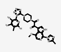 [2H]c1nc(-n2nnnc2N2CCN(C(=O)C(=O)c3c[nH]c4c(-n5cnc(C)n5)ncc(OC)c34)CC2)c([2H])c([2H])c1C